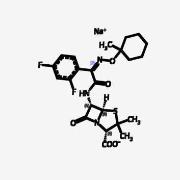 CC1(O/N=C(\C(=O)N[C@H]2C(=O)N3[C@@H]2SC(C)(C)[C@@H]3C(=O)[O-])c2ccc(F)cc2F)CCCCC1.[Na+]